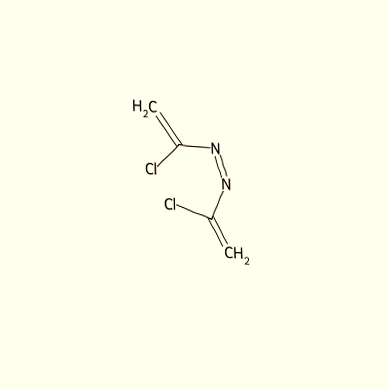 C=C(Cl)/N=N\C(=C)Cl